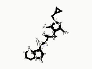 CC(C)c1nn(CC2CC2)c(C(C)C)c1NC(=O)/N=[SH](=O)/c1cnn2c1OCCC2